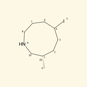 C[C@H]1CCC(I)CCCNC1